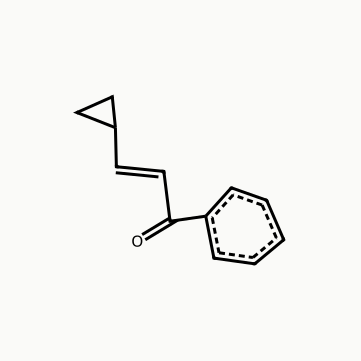 O=C(C=CC1CC1)c1ccccc1